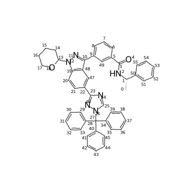 C[C@H](NC(=O)c1cccc(-c2nn(C3CCCCO3)c3ccc(-c4ncn(C(c5ccccc5)(c5ccccc5)c5ccccc5)n4)cc23)c1)c1ccccc1